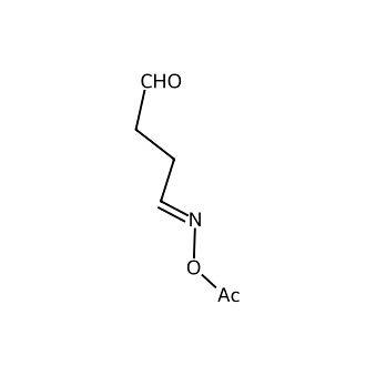 CC(=O)ON=CCCC=O